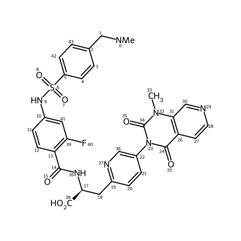 CNCc1ccc(S(=O)(=O)Nc2ccc(C(=O)N[C@@H](Cc3ccc(-n4c(=O)c5ccncc5n(C)c4=O)cn3)C(=O)O)c(F)c2)cc1